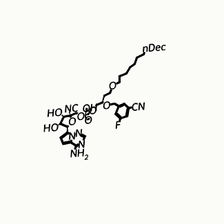 CCCCCCCCCCCCCCCCCOCC[C@H](COP(=O)(O)OC[C@@]1(C#N)O[C@@H](c2ccc3c(N)ncnn23)[C@H](O)[C@@H]1O)OCc1cc(F)cc(C#N)c1